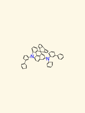 c1ccc(-c2cccc(N(c3ccccc3)c3cc4c5c(ccc6c5c5c(cccc5n6-c5cccc(-c6ccccc6)c5)C45c4ccccc4-c4ccccc45)c3)c2)cc1